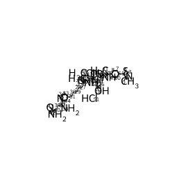 Cc1ncsc1-c1ccc([C@H](C)NC(=O)[C@@H]2C[C@@H](O)CN2C(=O)[C@@H](NC(=O)CCCCCc2ccnc([C@@H](N)CCC(N)=O)c2)C(C)(C)C)cc1.Cl